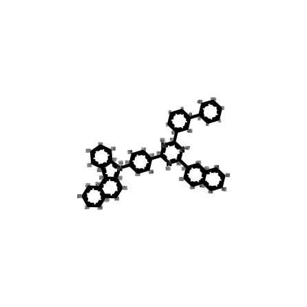 c1ccc(-c2cccc(-c3nc(-c4ccc(-n5c6ccccc6c6c7ccccc7ccc65)cc4)nc(-c4ccc5ccccc5c4)n3)c2)cc1